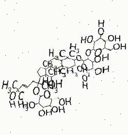 CC(C)(O)/C=C/CC(C)(O[C@@H]1O[C@H](CO)[C@@H](O)[C@H](O)[C@H]1O)[C@H]1CC[C@]2(C)[C@@H]1[C@H](O)CC1[C@@]3(C)C[C@@H](O)[C@H](O[C@@H]4O[C@H](CO)[C@@H](O)[C@H](O)[C@H]4O[C@@H]4O[C@H](CO)[C@@H](O)[C@H](O)[C@H]4O)C(C)(C)C3CC[C@]12C